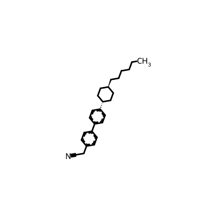 CCCCCC[C@H]1CC[C@H](c2ccc(-c3ccc(CC#N)cc3)cc2)CC1